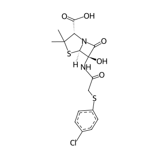 CC1(C)S[C@H]2N(C(=O)[C@]2(O)NC(=O)CSc2ccc(Cl)cc2)[C@H]1C(=O)O